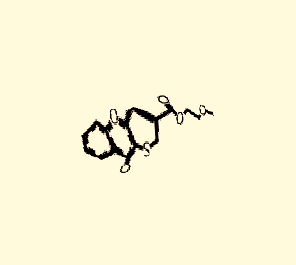 COCCOC(=O)C1=Cc2oc3ccccc3c(=O)c2SC1